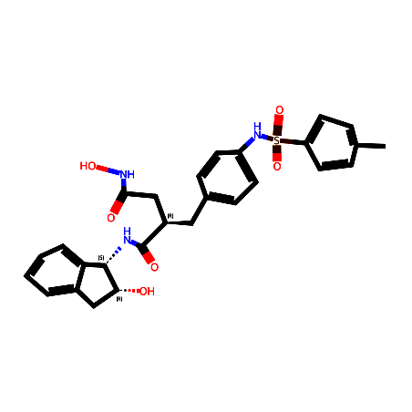 Cc1ccc(S(=O)(=O)Nc2ccc(C[C@H](CC(=O)NO)C(=O)N[C@H]3c4ccccc4C[C@H]3O)cc2)cc1